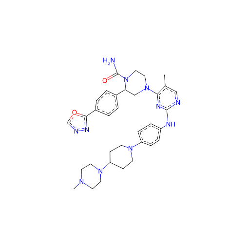 Cc1cnc(Nc2ccc(N3CCC(N4CCN(C)CC4)CC3)cc2)nc1N1CCN(C(N)=O)C(c2ccc(-c3nnco3)cc2)C1